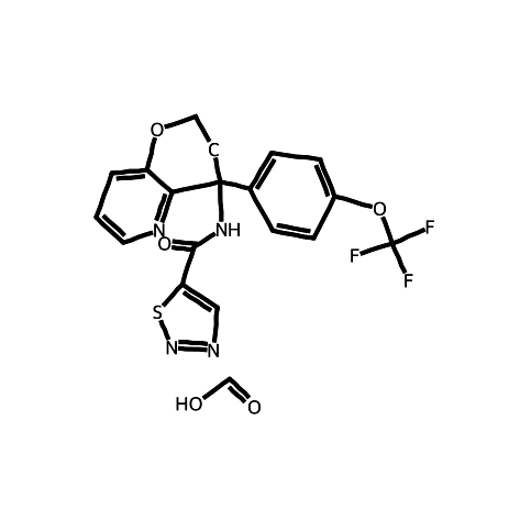 O=C(NC1(c2ccc(OC(F)(F)F)cc2)CCOc2cccnc21)c1cnns1.O=CO